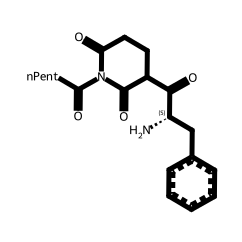 CCCCCC(=O)N1C(=O)CCC(C(=O)[C@@H](N)Cc2ccccc2)C1=O